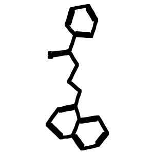 S=C(CCCc1cccc2ccccc12)c1ccccc1